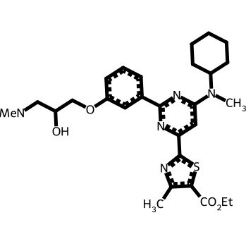 CCOC(=O)c1sc(-c2cc(N(C)C3CCCCC3)nc(-c3cccc(OCC(O)CNC)c3)n2)nc1C